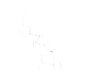 CCCCC[C@@H](CN(O)C=O)C(=O)NNc1cccc(OCC)n1